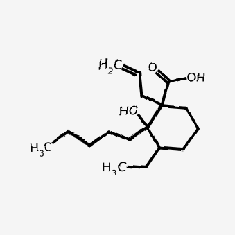 C=CCC1(C(=O)O)CCCC(CC)C1(O)CCCCC